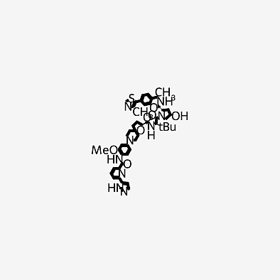 COc1cc(N2CCC3(CC[C@@H](C(=O)N[C@H](C(=O)N4C[C@H](O)C[C@H]4C(=O)N[C@@H](C)c4ccc(-c5scnc5C)cc4)C(C)(C)C)O3)CC2)ccc1NC(=O)c1cccc(-c2ccn[nH]2)n1